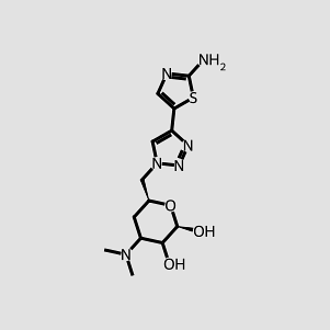 CN(C)C1C[C@@H](Cn2cc(-c3cnc(N)s3)nn2)O[C@@H](O)C1O